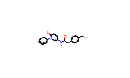 O=C(Cc1ccc(CBr)cc1)Nc1ccc(=O)n(-c2ccccc2)c1